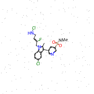 CNS(=O)(=O)c1cncc(-c2c(C)n(C/C(F)=C/CNCl)c3ccc(Cl)cc23)c1